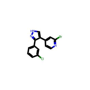 Clc1cccc(-c2n[nH]cc2-c2ccnc(Br)c2)c1